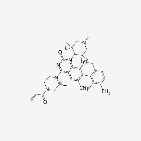 C=CC(=O)N1CCN(c2nc(=O)n(C3C4(CC4)CN(C)CC34CC4)c3c4c(c(C#N)cc23)-c2c(ccc(P)c2F)CO4)[C@@H](C)C1